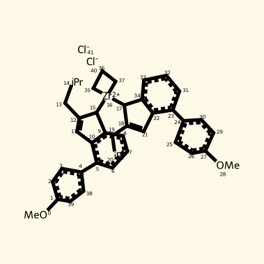 COc1ccc(-c2cccc3c2C=C(CC(C)C)[CH]3[Zr+2]2([CH]3C(CC(C)C)=Cc4c(-c5ccc(OC)cc5)cccc43)[CH2]C[CH2]2)cc1.[Cl-].[Cl-]